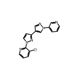 Clc1cccnc1-n1ccc(-c2cnn(-c3cccnc3)c2)n1